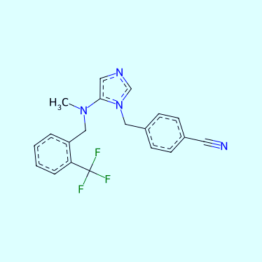 CN(Cc1ccccc1C(F)(F)F)c1cncn1Cc1ccc(C#N)cc1